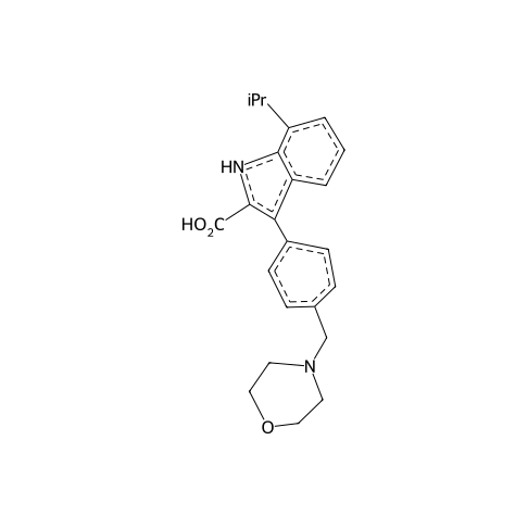 CC(C)c1cccc2c(-c3ccc(CN4CCOCC4)cc3)c(C(=O)O)[nH]c12